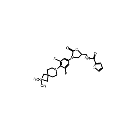 O=C(NC[C@H]1CN(c2cc(F)c(N3CCC4(CC3)CS(O)(O)C4)c(F)c2)C(=O)O1)c1ccco1